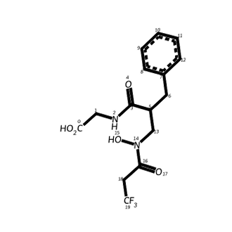 O=C(O)CNC(=O)C(Cc1ccccc1)CN(O)C(=O)CC(F)(F)F